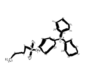 CCCCS(=O)(=O)O.c1ccc([S+](c2ccccc2)c2ccccc2)cc1